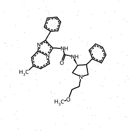 COCCN1CC(c2ccccc2)[C@H](NC(=O)Nc2c(-c3ccccc3)nc3cc(C)ccn23)C1